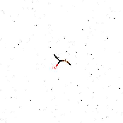 [CH2]C(O)SC